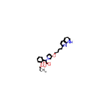 CCOc1ccccc1C(C(=O)O)N1CC[C@@H](OCCCCc2ccc3c(n2)NCCC3)C1